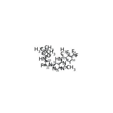 Cc1nc(NC(C)c2cccc(C(F)F)c2F)c2cc(N3C[C@H](F)[C@H](NC(=O)OC(C)(C)C)C3)ncc2n1